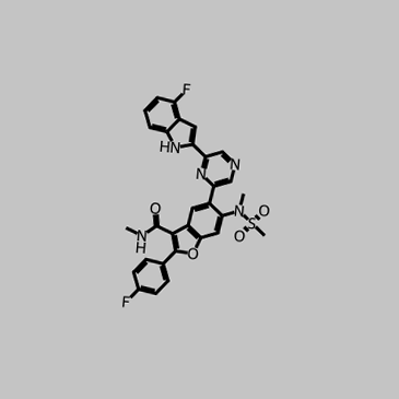 CNC(=O)c1c(-c2ccc(F)cc2)oc2cc(N(C)S(C)(=O)=O)c(-c3cncc(-c4cc5c(F)cccc5[nH]4)n3)cc12